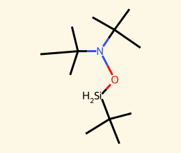 CC(C)(C)[SiH2]ON(C(C)(C)C)C(C)(C)C